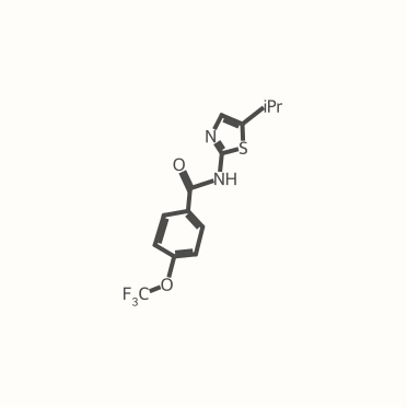 CC(C)c1cnc(NC(=O)c2ccc(OC(F)(F)F)cc2)s1